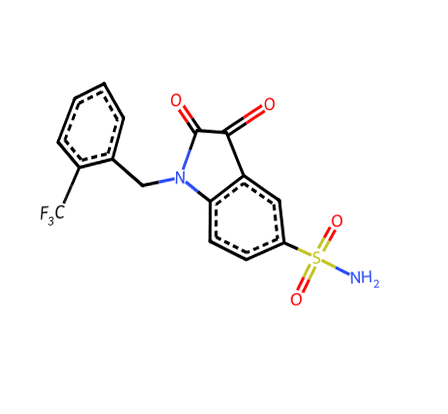 NS(=O)(=O)c1ccc2c(c1)C(=O)C(=O)N2Cc1ccccc1C(F)(F)F